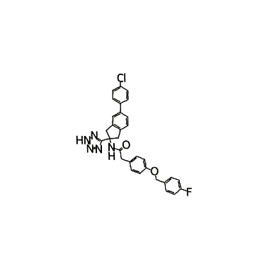 O=C(Cc1ccc(OCc2ccc(F)cc2)cc1)NC1(c2nn[nH]n2)Cc2ccc(-c3ccc(Cl)cc3)cc2C1